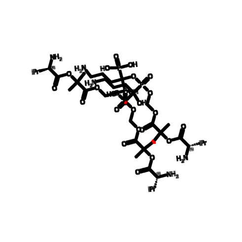 CC(C)[C@H](N)C(=O)OC(C)(C)C(=O)OCOP(=O)(OC(CCCN)(P(=O)(O)O)P(=O)(O)O)C(O)(CCCN)P(=O)(OCOC(=O)C(C)(C)OC(=O)[C@H](N)C(C)C)OCOC(=O)C(C)(C)OC(=O)[C@H](N)C(C)C